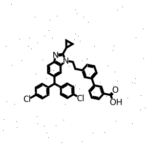 O=C(O)c1cccc(-c2cccc(CCn3c(C4CC4)nc4ccc(C(c5ccc(Cl)cc5)c5ccc(Cl)cc5)cc43)c2)c1